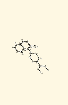 CCN(CC)C1CCN(c2c([O])ccc3cccnc23)CC1